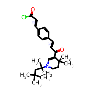 CC(C)(C)CC(C)(C)N1C=C(C(=O)/C=C/c2ccc(/C=C/C(=O)Cl)cc2)C(C)(C)CC1